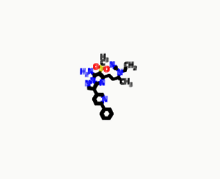 C=CN(C#N)C(C)CCc1nc2c(-c3ccc(-c4ccccc4)nc3)cnn2c(N)c1S(C)(=O)=O